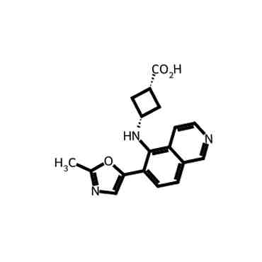 Cc1ncc(-c2ccc3cnccc3c2N[C@H]2C[C@@H](C(=O)O)C2)o1